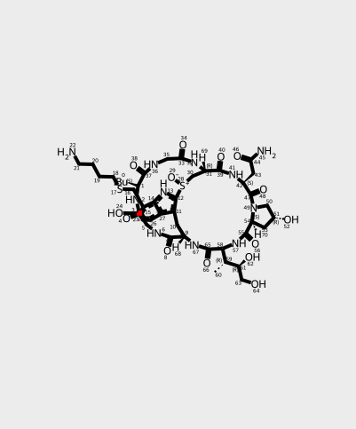 CC[C@H](C)C1NC(=O)CNC(=O)[C@@H]2Cc3c([nH]c4c(CSCCCCN)c(O)ccc34)[S+]([O-])C[C@H](NC(=O)CNC1=O)C(=O)N[C@@H](CC(N)=O)C(=O)N1C[C@H](O)C[C@H]1C(=O)NC([C@@H](C)[C@@H](O)CO)C(=O)N2